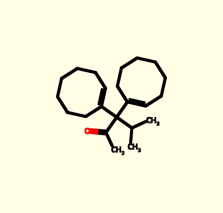 CC(=O)C(C1=CCCCCCC1)(C1=CCCCCCC1)C(C)C